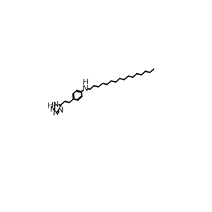 CCCCCCCCCCCCCCCCNc1ccc(CCc2nnn[nH]2)cc1